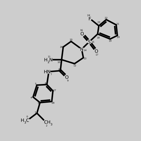 CC(C)c1ccc(NC(=O)C2(N)CCN(S(=O)(=O)c3ccccc3F)CC2)cc1